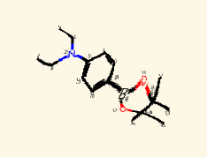 CCN(CC)c1ccc(B2OC(C)(C)C(C)(C)O2)cc1